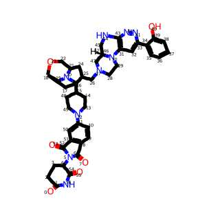 O=C1CCC(N2C(=O)c3ccc(N4CCC(C56CC7CN5C(CO7)CC6CN5CCN6c7cc(-c8ccccc8O)nnc7NC[C@H]6C5)CC4)cc3C2=O)C(=O)N1